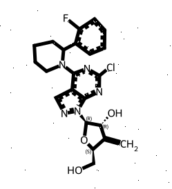 C=C1[C@@H](O)[C@H](n2ncc3c(N4CCCCC4c4ccccc4F)nc(Cl)nc32)O[C@@H]1CO